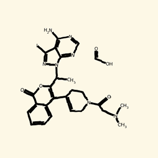 CC(c1oc(=O)c2ccccc2c1C1=CCN(C(=O)CN(C)C)CC1)n1nc(I)c2c(N)ncnc21.O=CO